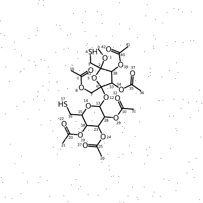 COC1(CS)OC(COC(C)=O)(OC2OC(CS)C(OC(C)=O)C(OC(C)=O)C2OC(C)=O)C(OC(C)=O)C1OC(C)=O